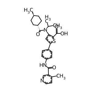 Cc1ccncc1C(=O)Nc1ccc(-c2cc(N(C(=O)[C@H]3CC[C@H](C)CC3)C(C)C)c(C(=O)O)s2)cc1